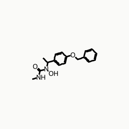 CNC(=O)N(O)C(C)c1ccc(OCc2ccccc2)cc1